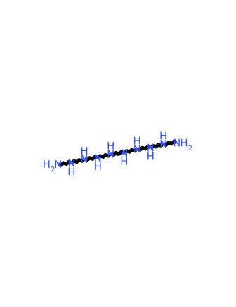 NCCCCNCCCCNCCCCNCCCCNCC=CCNCCCCNCCCCNCCCCNCCCCN